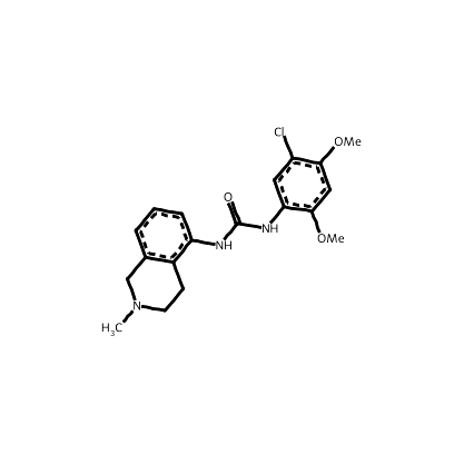 COc1cc(OC)c(NC(=O)Nc2cccc3c2CCN(C)C3)cc1Cl